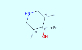 CCC[C@]1(O)[C@H](C)CNC[C@@H]1C